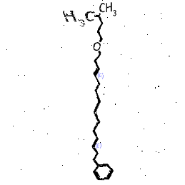 CC(C)CCCOCC/C=C/CCCCCC/C=C/CCc1ccccc1